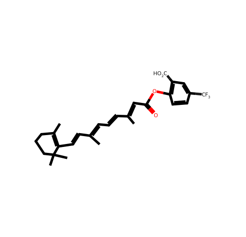 CC1=C(/C=C/C(C)=C/C=C/C(C)=C/C(=O)Oc2ccc(C(F)(F)F)cc2C(=O)O)C(C)(C)CCC1